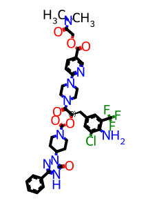 CN(C)C(=O)COC(=O)c1ccc(N2CCN(C(=O)[C@@H](Cc3cc(Cl)c(N)c(C(F)(F)F)c3)OC(=O)N3CCC(n4nc(-c5ccccc5)[nH]c4=O)CC3)CC2)nc1